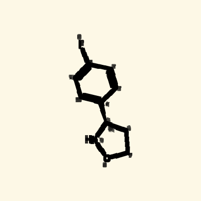 Fc1ccc([C@H]2CCON2)cc1